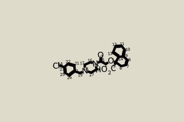 O=C(COC1(C(=O)O)CC=Cc2ccccc21)N1CCN(Cc2ccc(Cl)cc2)CC1